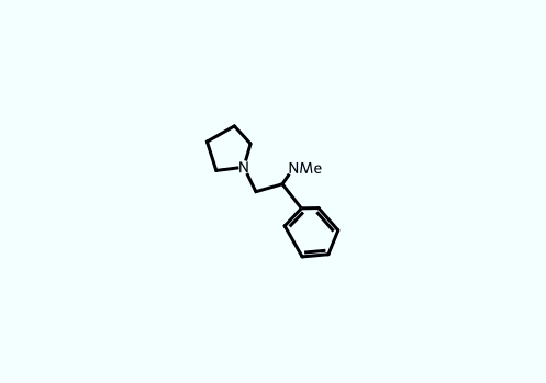 [CH2-][NH2+]C(CN1CCCC1)c1ccccc1